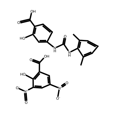 Cc1cccc(C)c1NC(=O)Nc1ccc(C(=O)O)c(O)c1.O=C(O)c1cc([N+](=O)[O-])cc([N+](=O)[O-])c1O